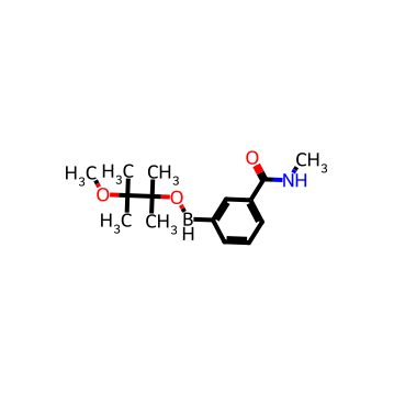 CNC(=O)c1cccc(BOC(C)(C)C(C)(C)OC)c1